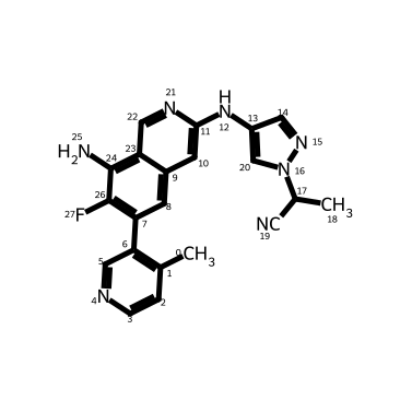 Cc1ccncc1-c1cc2cc(Nc3cnn(C(C)C#N)c3)ncc2c(N)c1F